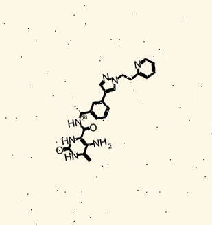 C=C1NC(=O)NC(C(=O)N[C@H](C)c2cccc(-c3cnn(CCc4ccccn4)c3)c2)=C1N